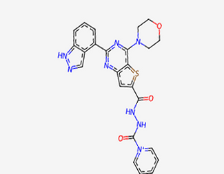 O=C(NNC(=O)[n+]1ccccc1)c1cc2nc(-c3cccc4[nH]ncc34)nc(N3CCOCC3)c2s1